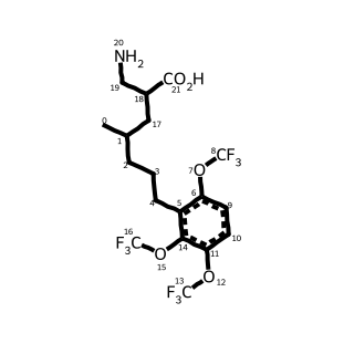 CC(CCCc1c(OC(F)(F)F)ccc(OC(F)(F)F)c1OC(F)(F)F)CC(CN)C(=O)O